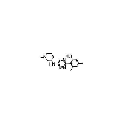 Cc1cc(C)c(-c2ncc(NC3CCCN(C)C3)nn2)c(O)c1